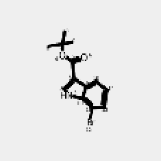 CC(C)(C)OC(=O)c1c[nH]c2c(Br)cccc12